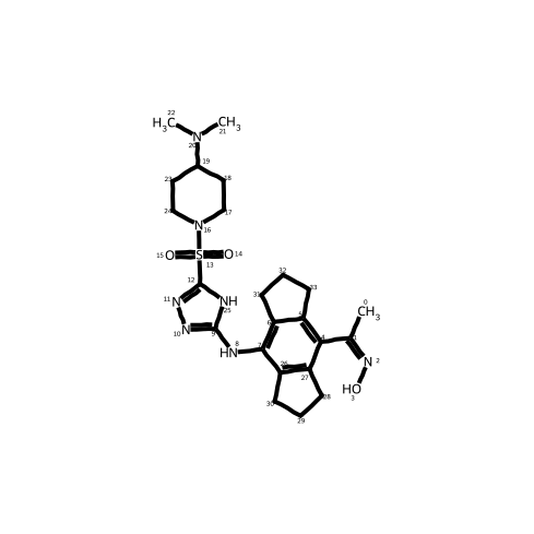 C/C(=N/O)c1c2c(c(Nc3nnc(S(=O)(=O)N4CCC(N(C)C)CC4)[nH]3)c3c1CCC3)CCC2